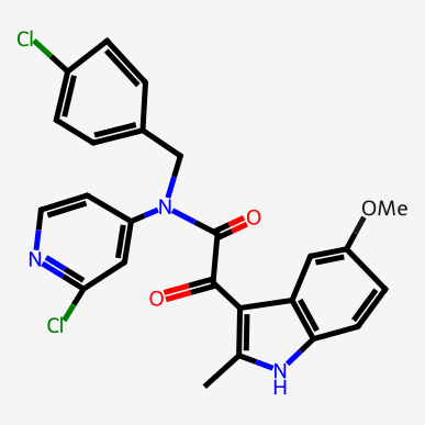 COc1ccc2[nH]c(C)c(C(=O)C(=O)N(Cc3ccc(Cl)cc3)c3ccnc(Cl)c3)c2c1